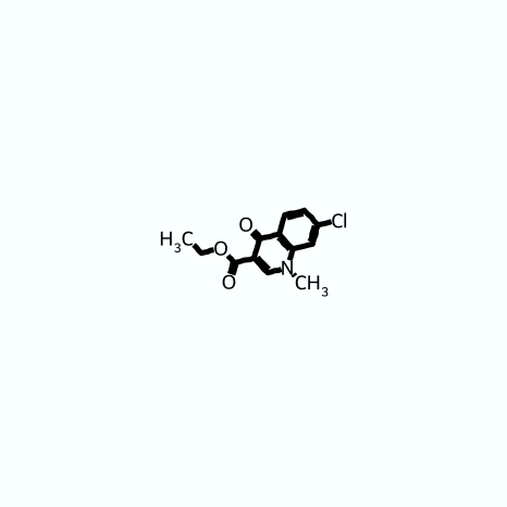 CCOC(=O)c1cn(C)c2cc(Cl)ccc2c1=O